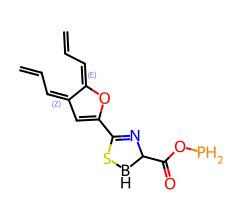 C=C/C=c1/cc(C2=NC(C(=O)OP)BS2)o/c1=C/C=C